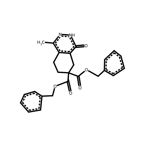 Cc1n[nH]c(=O)c2c1CCC(C(=O)OCc1ccccc1)(C(=O)OCc1ccccc1)C2